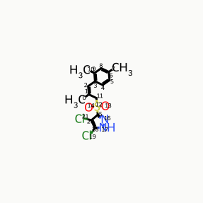 CC(=Cc1ccc(C)cc1C)CS(=O)(=O)c1n[nH]c(Cl)c1Cl